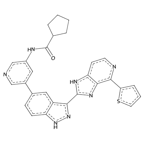 O=C(Nc1cncc(-c2ccc3[nH]nc(-c4nc5c(-c6cccs6)nccc5[nH]4)c3c2)c1)C1CCCC1